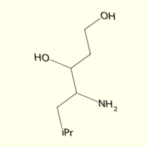 CC(C)CC(N)C(O)CCO